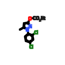 CCOC(=O)Oc1cc(C)n(-c2ccc(Cl)cc2Cl)n1